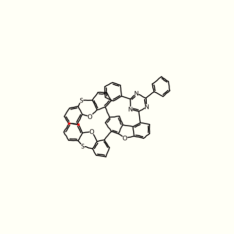 c1ccc(-c2nc(-c3ccccc3)nc(-c3cccc4oc5c(-c6cccc7c6Oc6ccccc6S7)cc(-c6cccc7c6Oc6ccccc6S7)cc5c34)n2)cc1